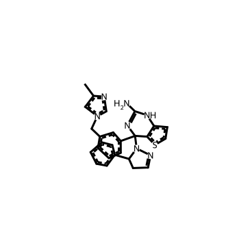 Cc1cn(Cc2cccc(C3(N4N=CCC4c4ccccc4)N=C(N)Nc4ccsc43)c2)cn1